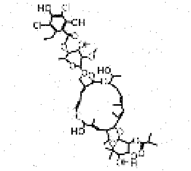 CCc1c(Cl)c(O)c(Cl)c(O)c1C(=O)OC1C(C)OC(OC/C2=C/C=C/CC(O)/C(C)=C/C(CC)C(OC3OC(C)(C)C(O)C(O)C3OC(=O)C(C)C)/C(C)=C/C(C)=C/CC(C(C)O)OC2=O)C(OC)C1O